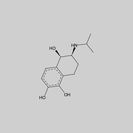 CC(C)N[C@H]1CCc2c(ccc(O)c2O)[C@H]1O